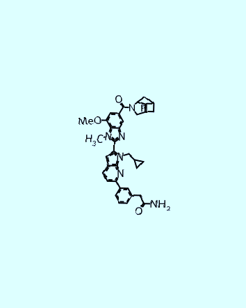 COc1cc(C(=O)N2CC3CC4CC2[C@H]43)cc2nc(-c3cc4ccc(-c5cccc(CC(N)=O)c5)nc4n3CC3CC3)n(C)c12